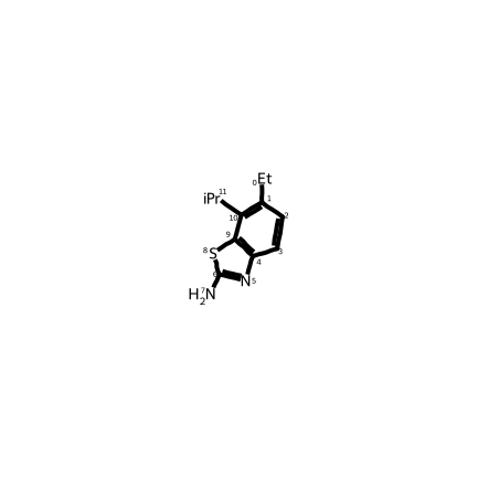 CCc1ccc2nc(N)sc2c1C(C)C